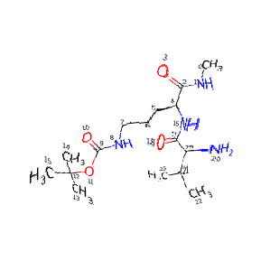 CNC(=O)[C@H](CCCNC(=O)OC(C)(C)C)NC(=O)[C@@H](N)C(C)C